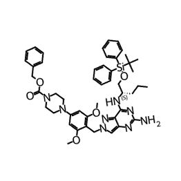 CCC[C@@H](CO[Si](c1ccccc1)(c1ccccc1)C(C)(C)C)Nc1nc(N)nc2cn(Cc3c(OC)cc(N4CCN(C(=O)OCc5ccccc5)CC4)cc3OC)nc12